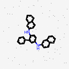 c1ccc(-c2cc(Nc3ccc4ccccc4c3)ccc2Nc2ccc3ccccc3c2)cc1